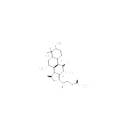 COC(=O)CC[C@@H](C)[C@H]1CC(=O)[C@@]2(C)C3=C(C(=O)[C@@H](OC(C)=O)[C@]12C)[C@@]1(C)CC[C@H](O)C(C)(C)[C@@H]1C[C@@H]3O